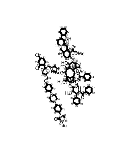 CC(=O)O[C@H]1C(=O)[C@@]2(C)[C@H]([C@H](OC(=O)c3ccccc3)[C@]3(O)C[C@H](OC(=O)[C@H](O)[C@@H](NC(=O)c4ccccc4)c4ccccc4)C(C)=C1C3(C)C)[C@]1(OC(C)=O)CO[C@@H]1C[C@@H]2O.CCC(C)n1ncn(-c2ccc(N3CCN(c4ccc(OC[C@H]5CO[C@](Cn6cncn6)(c6ccc(Cl)cc6Cl)O5)cc4)CC3)cc2)c1=O.COC(=O)[C@@H]1[C@H]2C[C@H]3c4[nH]c5ccccc5c4CCN3C[C@@H]2CC[C@@H]1O